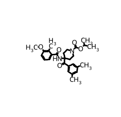 COc1cccc(C(=O)NC2(C(=O)c3cc(C)cc(C)c3)CCN(C(=O)OC(C)C)CC2)c1C